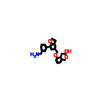 Cc1cccc(OCc2cc(-c3cccc(CN)c3)c3occc3c2)c1CC(=O)O